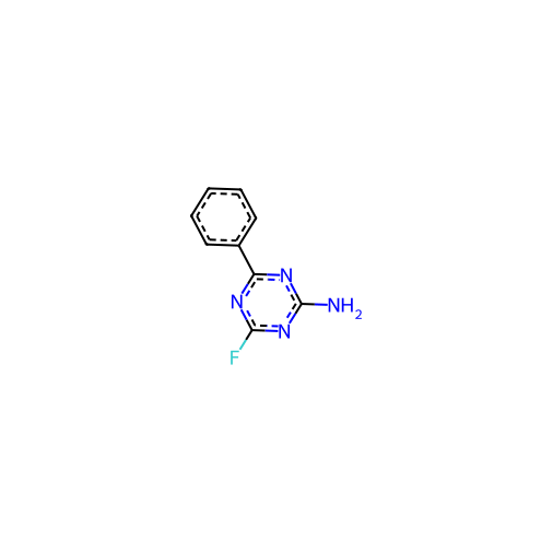 Nc1nc(F)nc(-c2ccccc2)n1